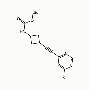 CC(C)(C)OC(=O)NC1CC(C#Cc2cc(Br)ccn2)C1